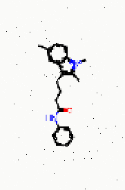 Cc1ccc2c(c1)c(CCCC(=O)Nc1ccccc1)c(C)n2C